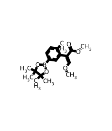 CO/C=C(/C(=O)OC)c1cc(B2OC(C)(C)C(C)(C)O2)ccc1C